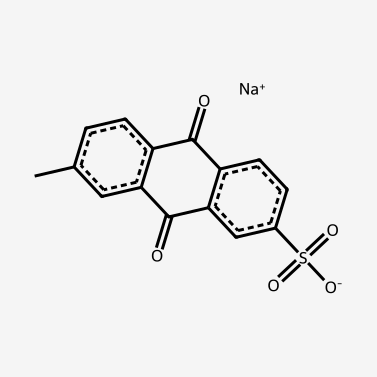 Cc1ccc2c(c1)C(=O)c1cc(S(=O)(=O)[O-])ccc1C2=O.[Na+]